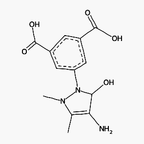 CC1=C(N)C(O)N(c2cc(C(=O)O)cc(C(=O)O)c2)N1C